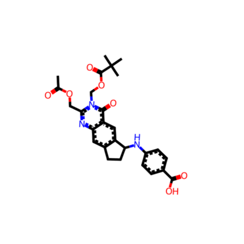 CC(=O)OCc1nc2cc3c(cc2c(=O)n1COC(=O)C(C)(C)C)C(Nc1ccc(C(=O)O)cc1)CC3